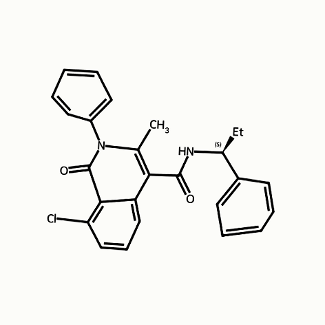 CC[C@H](NC(=O)c1c(C)n(-c2ccccc2)c(=O)c2c(Cl)cccc12)c1ccccc1